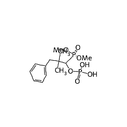 COP(=O)(OC)C(OP(=O)(O)O)C(C)(C)Cc1ccccc1